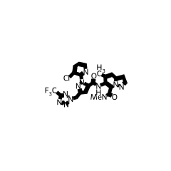 CNC(=O)c1c(NC(=O)c2cc(Cn3nnc(C(F)(F)F)n3)nn2-c2ncccc2Cl)c(C)cc2ccnn12